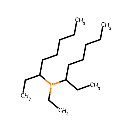 CCCCCC(CC)P(CC)C(CC)CCCCC